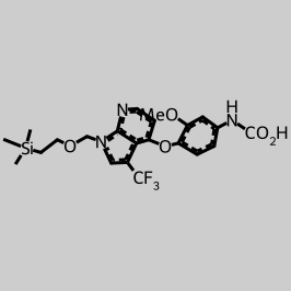 COc1cc(NC(=O)O)ccc1Oc1ccnc2c1c(C(F)(F)F)cn2COCC[Si](C)(C)C